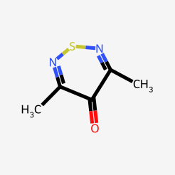 Cc1nsnc(C)c1=O